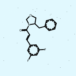 O=C(C=Cc1cc(F)cc(F)c1)N1COCC1Cc1ccccc1